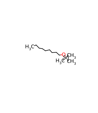 CCCCCCCCC[O][Sn]([CH3])([CH3])[CH3]